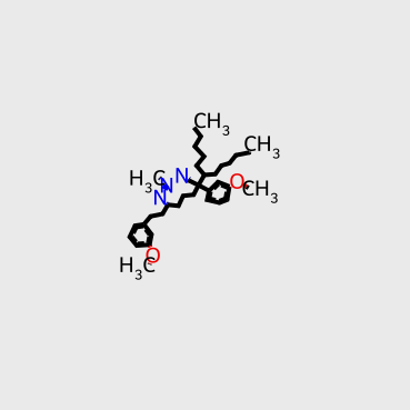 CCCCCCC(CCCCCC)C(C#N)(CCCC(CCc1cccc(OC)c1)/N=N/C)c1cccc(OC)c1